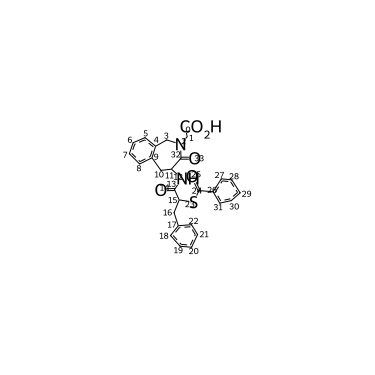 O=C(O)CN1Cc2ccccc2CC(NC(=O)C(Cc2ccccc2)SC(=O)c2ccccc2)C1=O